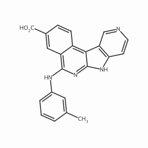 Cc1cccc(Nc2nc3[nH]c4ccncc4c3c3ccc(C(=O)O)cc23)c1